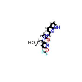 O=C(O)C[C@@H](c1ccc(OC(F)F)nc1)N1CCN(Cc2ccc3c(n2)NCCC3)C1=O